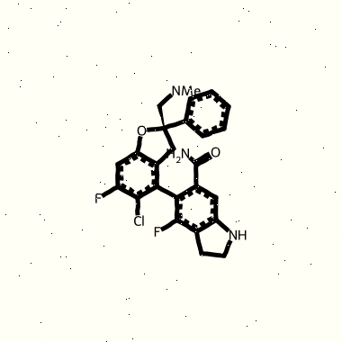 CNC[C@@]1(c2ccccc2)Cc2c(cc(F)c(Cl)c2-c2c(C(N)=O)cc3c(c2F)CCN3)O1